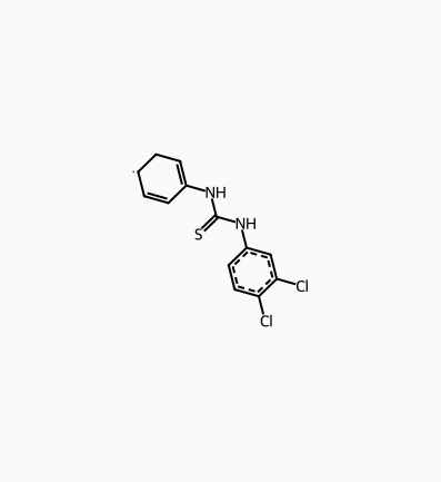 S=C(NC1=CC[CH]C=C1)Nc1ccc(Cl)c(Cl)c1